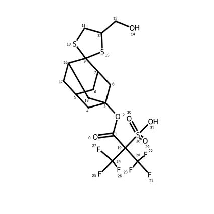 O=C(OC12CC3CC(C1)C1(SCC(CO)S1)C(C3)C2)C(C(F)(F)F)(C(F)(F)F)S(=O)(=O)O